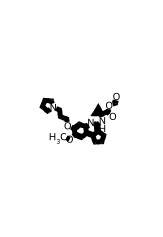 COc1cc2c3c(c(NC4(C(=O)OC=O)CC4)nc2cc1OCCCN1CCCC1)CCC3